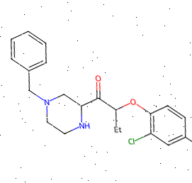 CCC(Oc1ccc(Cl)cc1Cl)C(=O)C1CN(Cc2ccccc2)CCN1